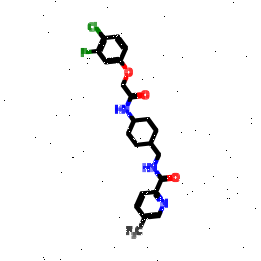 O=C(COc1ccc(Cl)c(F)c1)NC1CCC(CNC(=O)c2ccc(C(F)(F)F)cn2)CC1